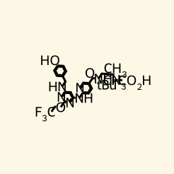 CC(C)(CNC(=O)c1ccc(Nc2cc(NCc3ccc(O)cc3)nc(OCC(F)(F)F)n2)nc1)CN(C(=O)O)C(C)(C)C